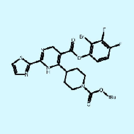 CC(C)(C)OC(=O)N1CCC(C2=C(C(=O)Oc3ccc(F)c(F)c3Br)CN=C(c3nccs3)N2)CC1